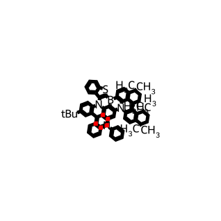 CC(C)(C)c1ccc(N2c3cc(N(c4ccccc4)c4ccccc4)cc4c3B(c3ccc5c6c3N4c3ccc4c(c3C6(C)CCC5(C)C)C(C)(C)CCC4(C)C)c3sc4ccccc4c32)c(-c2ccccc2)c1